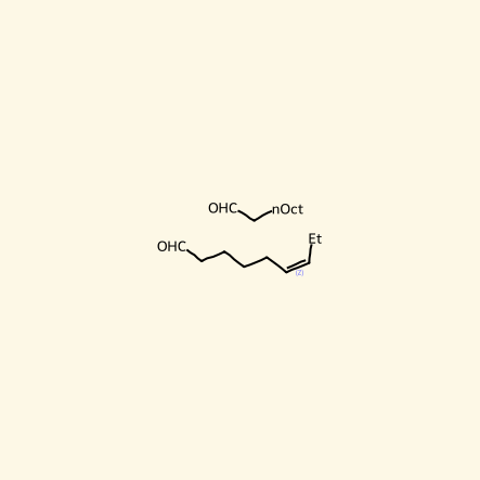 CC/C=C\CCCCC=O.CCCCCCCCCC=O